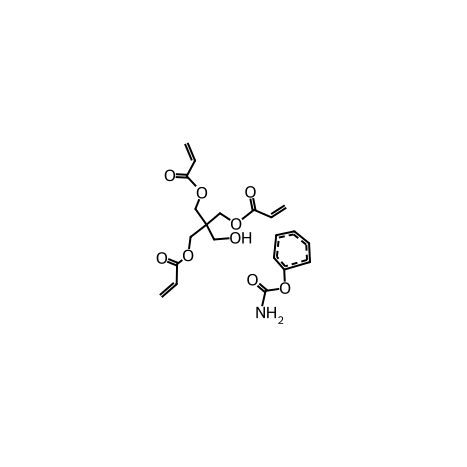 C=CC(=O)OCC(CO)(COC(=O)C=C)COC(=O)C=C.NC(=O)Oc1ccccc1